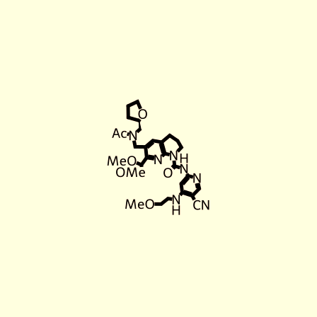 COCCNc1cc(NC(=O)N2CCCc3cc(CN(C[C@H]4CCCO4)C(C)=O)c(C(OC)OC)nc32)ncc1C#N